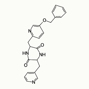 O=C1NC(Cc2ccc(OCc3ccccc3)cn2)C(=O)NC1Cc1cccnc1